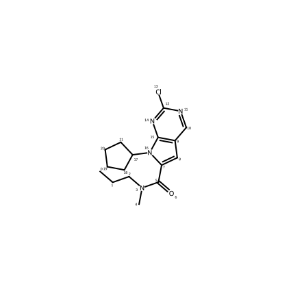 CCCN(C)C(=O)c1cc2cnc(Cl)nc2n1C1CCCC1